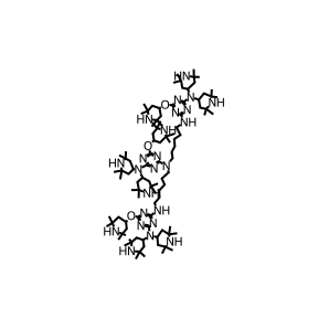 CC1(C)CC(Oc2nc(NCCCCCCN(CCCCCCNc3nc(OC4CC(C)(C)NC(C)(C)C4)nc(N(C4CC(C)(C)NC(C)(C)C4)C4CC(C)(C)NC(C)(C)C4)n3)c3nc(OC4CC(C)(C)NC(C)(C)C4)nc(N(C4CC(C)(C)NC(C)(C)C4)C4CC(C)(C)NC(C)(C)C4)n3)nc(N(C3CC(C)(C)NC(C)(C)C3)C3CC(C)(C)NC(C)(C)C3)n2)CC(C)(C)N1